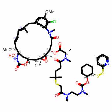 COc1cc2cc(c1Cl)N(C)C(=O)C[C@H](OC(=O)[C@H](C)N(C)C(=O)CCC(C)(C)SCC(=O)N(C)CCN(C)C(=O)O[C@H]1CCCC[C@@H]1SSc1ccccn1)[C@@]1(C)O[C@H]1[C@H](C)[C@@H]1C[C@@](O)(NC(=O)O1)[C@H](OC)/C=C/C=C(\C)C2